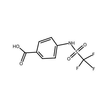 O=C(O)c1ccc(NS(=O)(=O)C(F)(F)F)cc1